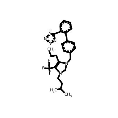 CCCC1=C(C(F)(F)F)N(CCC(C)C)CN1Cc1ccc(-c2ccccc2-c2nnn[nH]2)cc1